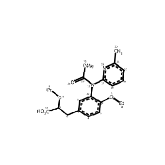 CCOc1ccc(CC(OC(C)C)C(=O)O)cc1N(C(=O)OC)c1cccc(C)n1